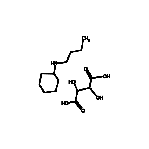 CCCCNC1CCCCC1.O=C(O)C(O)C(O)C(=O)O